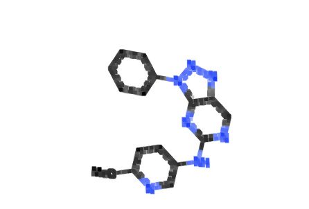 COc1ccc(Nc2ncc3nnn(-c4ccccc4)c3n2)cn1